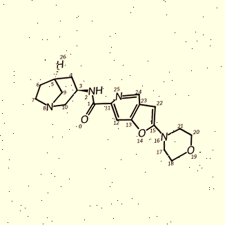 O=C(N[C@@H]1C[C@@H]2CCN(C2)C1)c1cc2oc(N3CCOCC3)cc2cn1